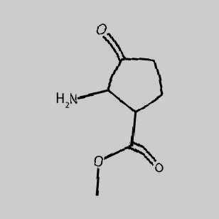 COC(=O)C1CCC(=O)C1N